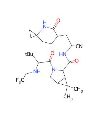 CC(C)(C)C(NCC(F)(F)F)C(=O)N1CC2C(C1C(=O)NC(C#N)CC1CCC3(CC3)NC1=O)C2(C)C